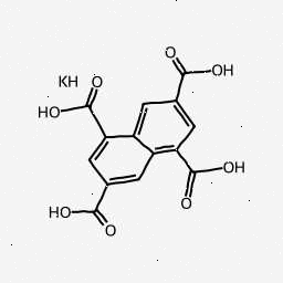 O=C(O)c1cc(C(=O)O)c2cc(C(=O)O)cc(C(=O)O)c2c1.[KH]